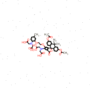 CC(=O)Oc1ccc2c(c1)C(C)(C)c1cc(OC(C)=O)ccc1C21OC(=O)c2cc(N(CC(=O)O)CC(=O)O)c(OCCOc3cc(C)ccc3N(CC(=O)O)CC(=O)O)cc21